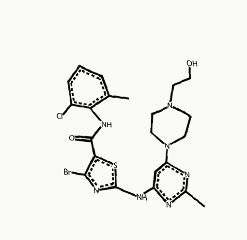 Cc1nc(Nc2nc(Br)c(C(=O)Nc3c(C)cccc3Cl)s2)cc(N2CCN(CCO)CC2)n1